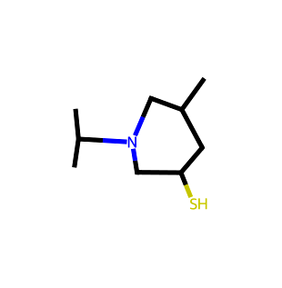 CC1CC(S)CN(C(C)C)C1